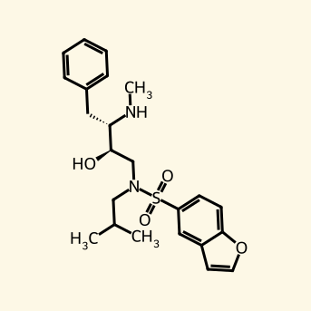 CN[C@@H](Cc1ccccc1)[C@H](O)CN(CC(C)C)S(=O)(=O)c1ccc2occc2c1